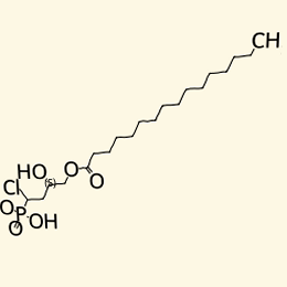 CCCCCCCCCCCCCCCC(=O)OC[C@@H](O)CC(Cl)P(=O)(O)O